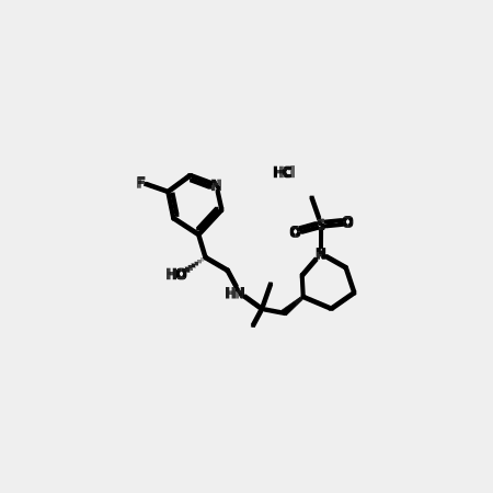 CC(C)(C[C@@H]1CCCN(S(C)(=O)=O)C1)NC[C@H](O)c1cncc(F)c1.Cl